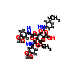 CCc1cccc(NC(=O)O[C@@H]2[C@H](OC(=O)Nc3ccc4c(c3)OCO4)[C@H](OC(=O)Nc3ccc4c(c3)OCO4)[C@@H](OC)O[C@@H]2CO)c1